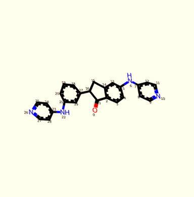 O=C1c2ccc(Nc3ccncc3)cc2CC1c1cccc(Nc2ccncc2)c1